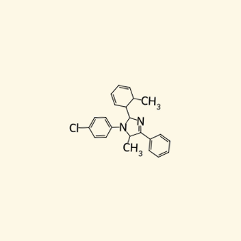 CC1C=CC=CC1C1N=C(c2ccccc2)C(C)N1c1ccc(Cl)cc1